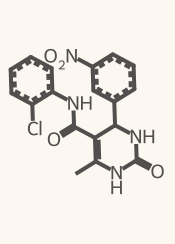 CC1=C(C(=O)Nc2ccccc2Cl)C(c2cccc([N+](=O)[O-])c2)NC(=O)N1